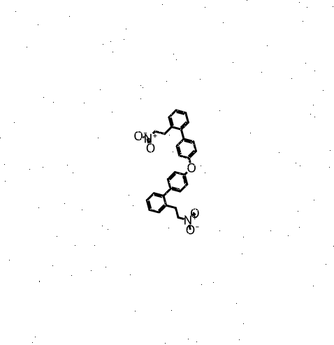 O=[N+]([O-])CCc1ccccc1-c1ccc(Oc2ccc(-c3ccccc3CC[N+](=O)[O-])cc2)cc1